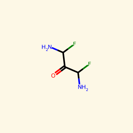 NC(F)C(=O)C(N)F